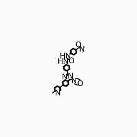 Cc1ccc(-c2ccc3c(N4CCOCC4)nc(-c4ccc(NC(=O)Nc5ccc(C(=O)N(C)C)cc5)cc4)nc3c2)cn1